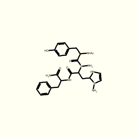 CC(=O)NC(Cc1ccc(O)cc1)C(=O)N(N)C(CC1NC=CN1N)C(=O)NC(Cc1ccccc1)C(N)=O